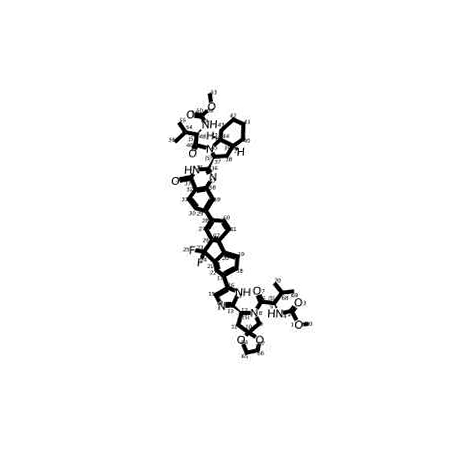 COC(=O)N[C@H](C(=O)N1CC2(C[C@H]1c1ncc(-c3ccc4c(c3)C(F)(F)c3cc(-c5ccc6c(=O)[nH]c([C@@H]7C[C@@H]8CCCC[C@@H]8N7C(=O)[C@@H](NC(=O)OC)C(C)C)nc6c5)ccc3-4)[nH]1)OCCO2)C(C)C